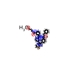 COCCCNC(=O)c1cccc(Nc2nccc(-c3c(-c4cccc(NC(=O)Cc5ccccc5)c4)nc4sccn34)n2)c1